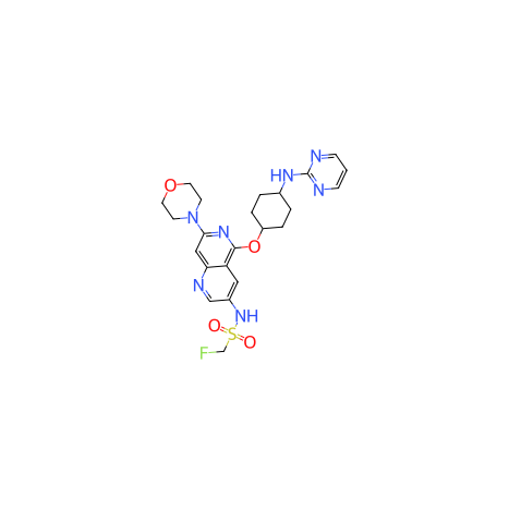 O=S(=O)(CF)Nc1cnc2cc(N3CCOCC3)nc(OC3CCC(Nc4ncccn4)CC3)c2c1